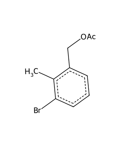 CC(=O)OCc1cccc(Br)c1C